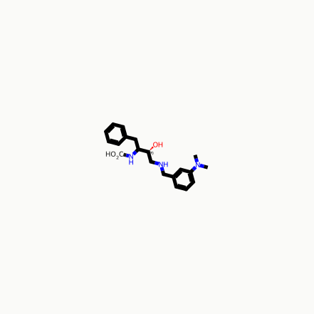 CN(C)c1cccc(CNC[C@@H](O)C(Cc2ccccc2)NC(=O)O)c1